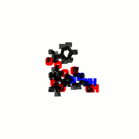 C[C@H](C(=O)OC[C@H]1O[C@@H](n2ccc(NO)nc2=O)[C@@H]2OC(C)(C)O[C@@H]21)c1ccccc1